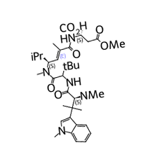 CN[C@H](C(=O)NC(C(=O)N(C)[C@H](/C=C(\C)C(=O)N[C@@H](CC(=O)OC)C(=O)O)C(C)C)C(C)(C)C)C(C)(C)c1cn(C)c2ccccc12